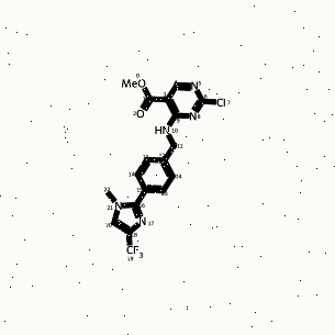 COC(=O)c1cnc(Cl)nc1NCc1ccc(-c2nc(C(F)(F)F)cn2C)cc1